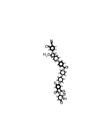 C[C@H]1CC2(CCN(c3ccc(C(=O)N4CCN(C5CCN(c6cc7c(cc6F)C(=O)N(C6CCC(=O)NC6=O)C7=O)CC5)CC4)cc3)CC2)CN1c1ccc(C#N)c(Cl)c1